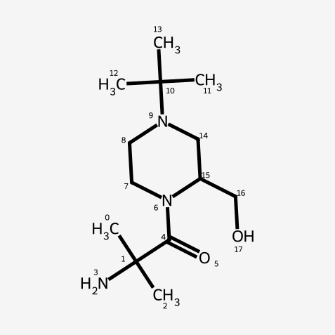 CC(C)(N)C(=O)N1CCN(C(C)(C)C)CC1CO